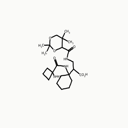 CCCCCCC1(C(=O)NC2(C(CNC(=O)C3OC(C)(C)OCC3(C)C)C(=O)O)CCCCC2)CCC1